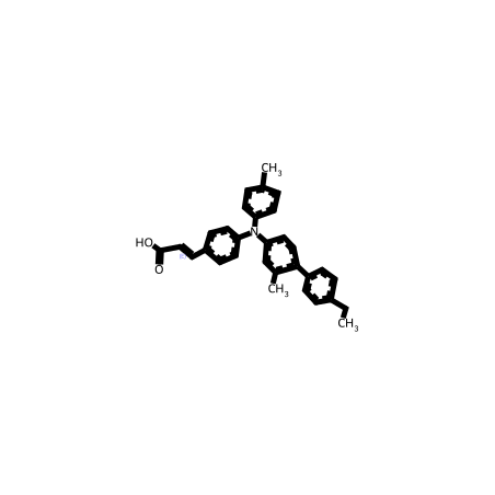 CCc1ccc(-c2ccc(N(c3ccc(C)cc3)c3ccc(/C=C/C(=O)O)cc3)cc2C)cc1